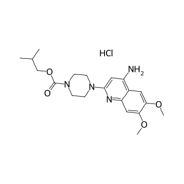 COc1cc2nc(N3CCN(C(=O)OCC(C)C)CC3)cc(N)c2cc1OC.Cl